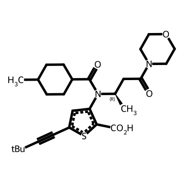 CC1CCC(C(=O)N(c2cc(C#CC(C)(C)C)sc2C(=O)O)[C@H](C)CC(=O)N2CCOCC2)CC1